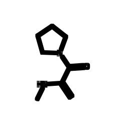 C=C(NC)C(=O)N1CCCC1